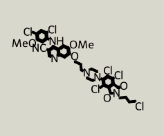 COc1cc(Nc2c(C#N)cnc3cc(OCCCN4CCN(c5c(Cl)c(Cl)c6c(c5Cl)C(=O)N(CCCCCl)C6=O)CC4)c(OC)cc23)c(Cl)cc1Cl